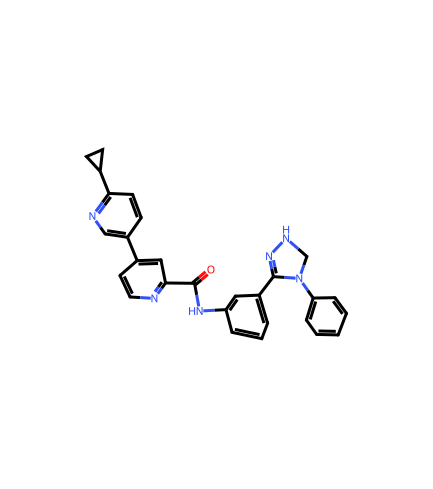 O=C(Nc1cccc(C2=NNCN2c2ccccc2)c1)c1cc(-c2ccc(C3CC3)nc2)ccn1